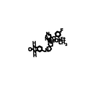 CCC(C)(OC)c1cc(F)ccc1Oc1cncnc1N1CCC2(CCN(Cc3ccc4[nH]c(=O)[nH]c4c3)C2)C1